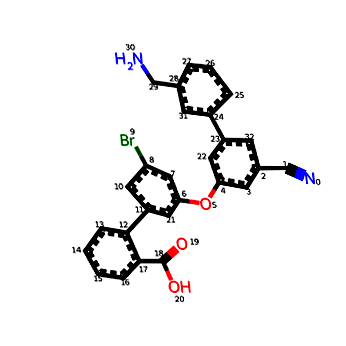 N#Cc1cc(Oc2cc(Br)cc(-c3ccccc3C(=O)O)c2)cc(-c2cccc(CN)c2)c1